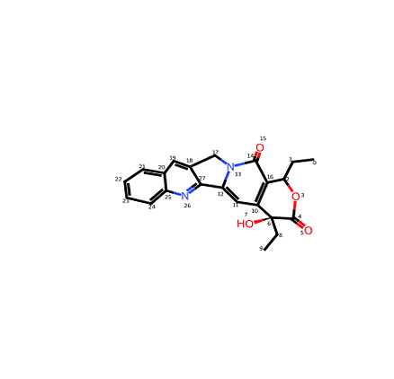 CCC1OC(=O)[C@](O)(CC)c2cc3n(c(=O)c21)Cc1cc2ccccc2nc1-3